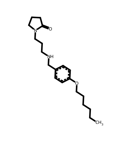 CCCCCCOc1ccc(CNCCCN2CCCC2=O)cc1